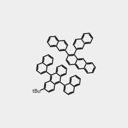 CC(C)(C)c1ccc2c(-c3cccc4ccccc34)c3ccccc3c(-c3cccc4ccccc34)c2c1.c1ccc2cc(-c3ccc4cc5ccccc5cc4c3-c3ccc4ccccc4c3)ccc2c1